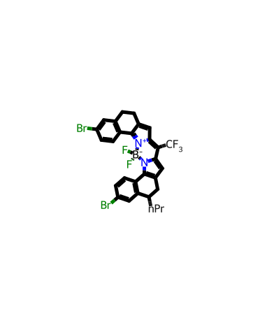 CCCC1Cc2cc3n(c2-c2ccc(Br)cc21)[B-](F)(F)[N+]1=C2C(=CC1=C3C(F)(F)F)CCc1cc(Br)ccc12